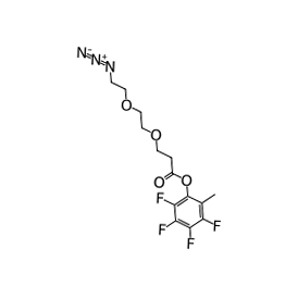 Cc1c(F)c(F)c(F)c(F)c1OC(=O)CCOCCOCCN=[N+]=[N-]